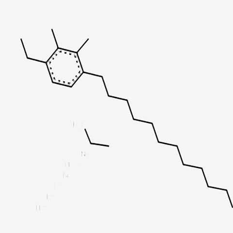 Br.Br.Br.Br.CCCCCCCCCCCCc1ccc(CC)c(C)c1C.CCP.N.O